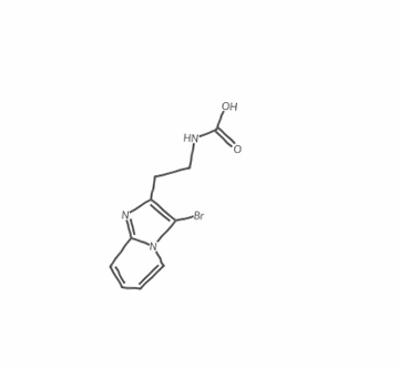 O=C(O)NCCc1nc2ccccn2c1Br